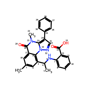 Cc1cc(C(C)Nc2ccccc2C(=O)O)c2c(c1)c(=O)n(C)c1c(-c3ccccc3)cnn21